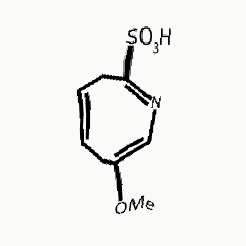 COc1ccc(S(=O)(=O)O)nc1